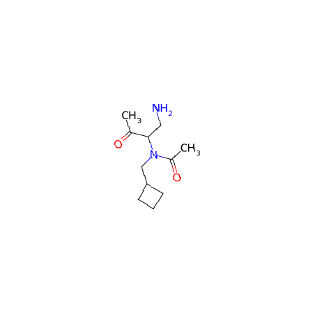 CC(=O)C(CN)N(CC1CCC1)C(C)=O